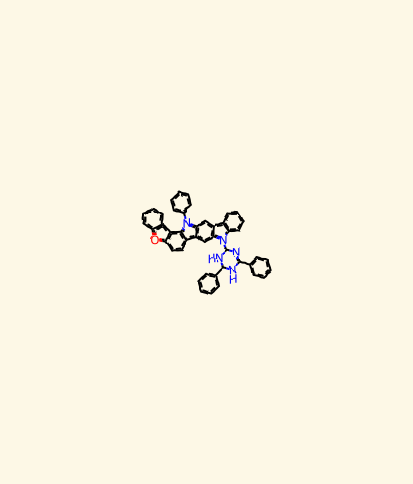 c1ccc(C2=NC(n3c4ccccc4c4cc5c(cc43)c3ccc4oc6ccccc6c4c3n5-c3ccccc3)NC(c3ccccc3)N2)cc1